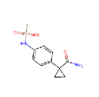 CS(=O)(=O)Nc1ccc(C2(C(N)=O)CC2)cc1